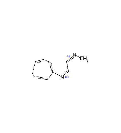 C/N=C\C=N/C1=CC=CCC=C1